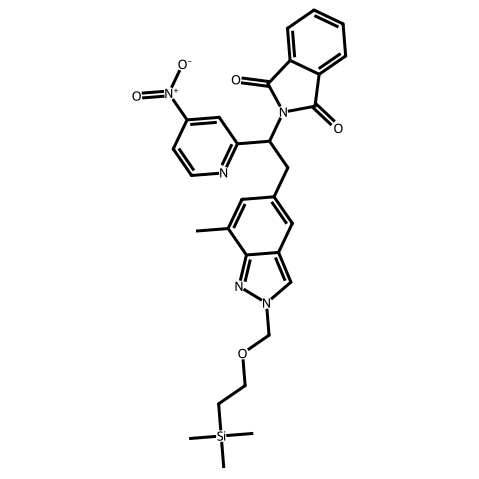 Cc1cc(CC(c2cc([N+](=O)[O-])ccn2)N2C(=O)c3ccccc3C2=O)cc2cn(COCC[Si](C)(C)C)nc12